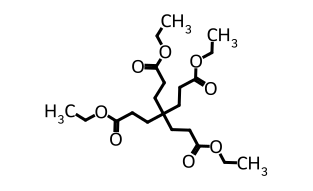 CCOC(=O)CCC(CCC(=O)OCC)(CCC(=O)OCC)CCC(=O)OCC